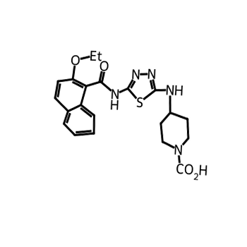 CCOc1ccc2ccccc2c1C(=O)Nc1nnc(NC2CCN(C(=O)O)CC2)s1